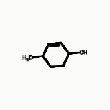 C[C@H]1C=CC(O)CC1